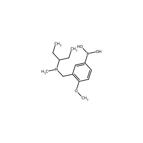 CCC(CC)N(C)Cc1cc(B(O)O)ccc1OC